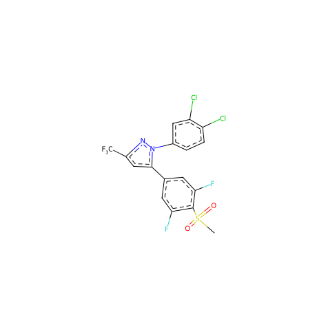 CS(=O)(=O)c1c(F)cc(-c2cc(C(F)(F)F)nn2-c2ccc(Cl)c(Cl)c2)cc1F